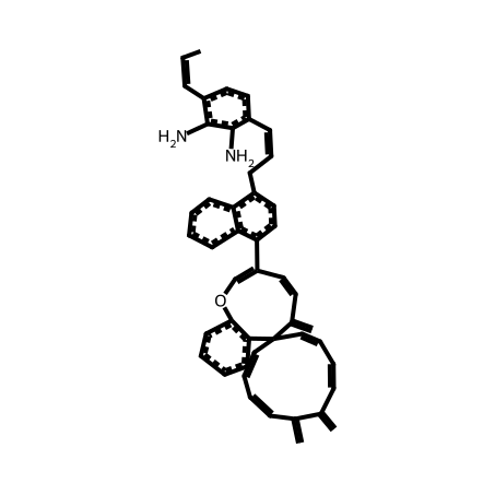 C=C1/C=C\C=CC2(C=C/C=C\C1=C)C(=C)/C=C\C(c1ccc(C/C=C\c3ccc(/C=C\C)c(N)c3N)c3ccccc13)=C/Oc1ccccc12